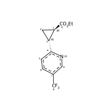 CCOC(=O)[C@@H]1C[C@H]1c1ccc(C(F)(F)F)cn1